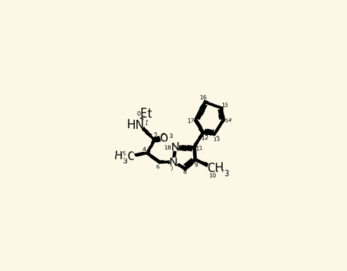 CCNC(=O)C(C)Cn1cc(C)c(-c2ccccc2)n1